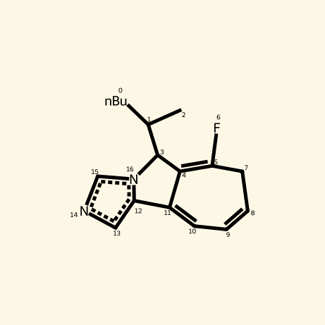 CCCCC(C)C1C2=C(F)CC=CC=C2c2cncn21